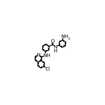 Nc1cccc(NC(=O)c2cccc(Nc3nccc4ccc(Cl)cc34)c2)c1